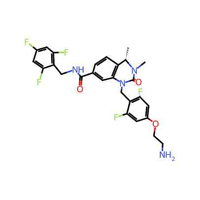 C[C@H]1c2ccc(C(=O)NCc3c(F)cc(F)cc3F)cc2N(Cc2c(F)cc(OCCN)cc2F)C(=O)N1C